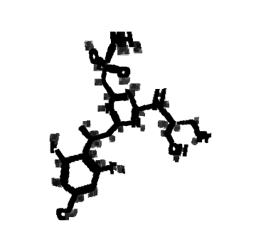 CC(C)C[C@H](CO)Nc1nc(C[C@H](C)c2c(F)cc(Cl)cc2F)nc(CS(N)(=O)=O)n1